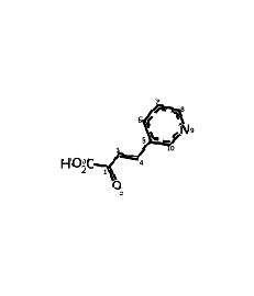 O=C(O)C(=O)/C=C/c1cccnc1